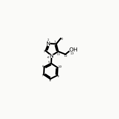 Cc1ncn(-c2ccccc2)c1CO